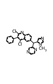 Cn1cncc1C(c1ccc2nc(Cl)c(-c3ccccc3)c(Cl)c2c1)c1cnccn1